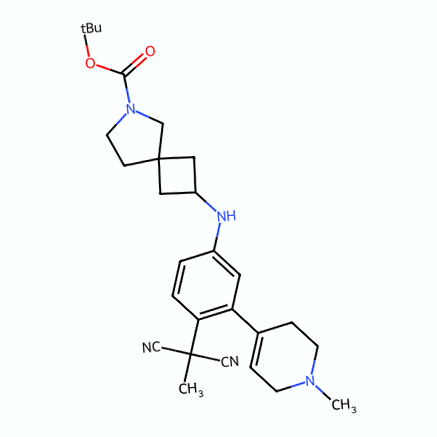 CN1CC=C(c2cc(NC3CC4(CCN(C(=O)OC(C)(C)C)C4)C3)ccc2C(C)(C#N)C#N)CC1